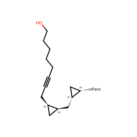 CCCCC[C@H]1C[C@H]1C[C@H]1C[C@H]1CC#CCCCCCO